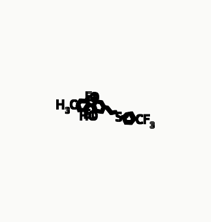 CCc1cc(C)cc(CC)c1C1=C(O)CC(CCCSc2ccc(C(F)(F)F)cc2)CC1=O